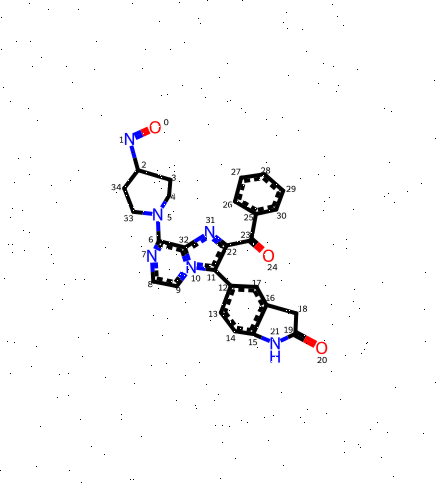 O=NC1CCN(c2nccn3c(-c4ccc5c(c4)CC(=O)N5)c(C(=O)c4ccccc4)nc23)CC1